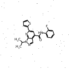 CC(C)n1ncc2c(C(=O)Nc3ccccc3F)cc(-c3cccs3)nc21